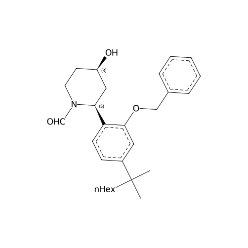 CCCCCCC(C)(C)c1ccc([C@@H]2C[C@H](O)CCN2C=O)c(OCc2ccccc2)c1